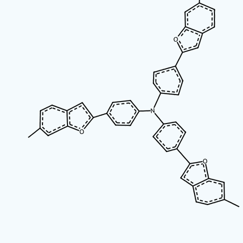 Cc1ccc2cc(-c3ccc(N(c4ccc(-c5cc6ccc(C)cc6o5)cc4)c4ccc(-c5cc6ccc(C)cc6o5)cc4)cc3)oc2c1